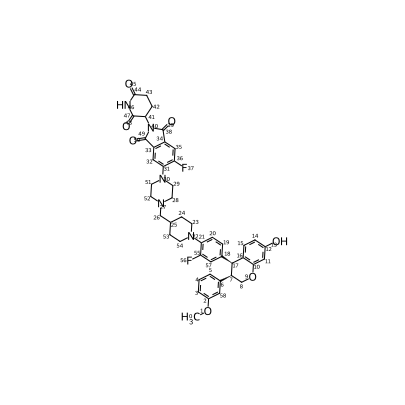 COc1cccc([C@@H]2COc3cc(O)ccc3[C@@H]2c2ccc(N3CCC(CN4CCN(c5cc6c(cc5F)C(=O)N(C5CCC(=O)NC5=O)C6=O)CC4)CC3)c(F)c2)c1